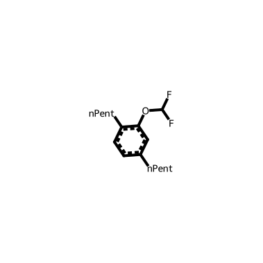 CCCCCc1ccc(CCCCC)c(OC(F)F)c1